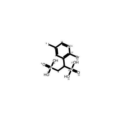 O=P(O)(O)CC(c1cc(I)cnc1Br)P(=O)(O)O